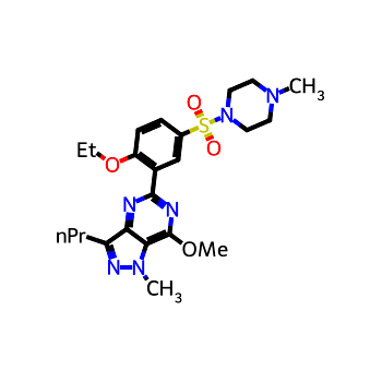 CCCc1nn(C)c2c(OC)nc(-c3cc(S(=O)(=O)N4CCN(C)CC4)ccc3OCC)nc12